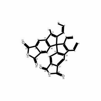 C=CC1=C(C=C)C2(C(/C=C\C)=C(C)c3cc4c(cc32)C(=O)OC4=O)c2cc3c(cc21)C(=O)OC3=O